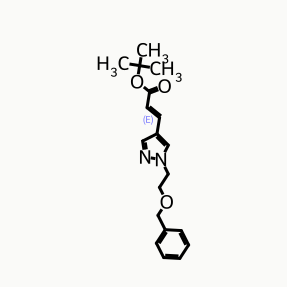 CC(C)(C)OC(=O)/C=C/c1cnn(CCOCc2ccccc2)c1